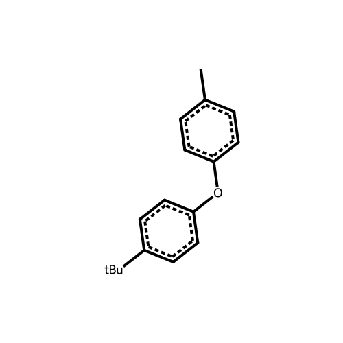 Cc1ccc(Oc2ccc(C(C)(C)C)cc2)cc1